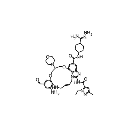 CCn1nc(C)cc1C(=O)Nc1nc2cc(C(=O)NC3CCC(/C(N)=N/N)CC3)cc3c2n1C/C=C/CNc1c(N)cc(C=O)cc1OCC(N1CCOCC1)CO3